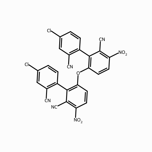 N#Cc1cc(Cl)ccc1-c1c(Oc2ccc([N+](=O)[O-])c(C#N)c2-c2ccc(Cl)cc2C#N)ccc([N+](=O)[O-])c1C#N